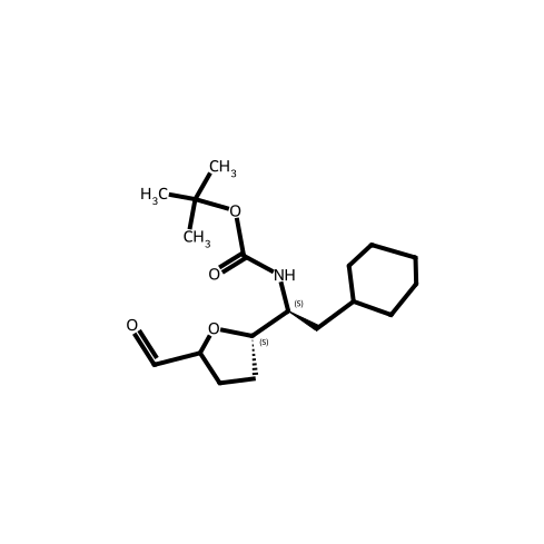 CC(C)(C)OC(=O)N[C@@H](CC1CCCCC1)[C@@H]1CCC(C=O)O1